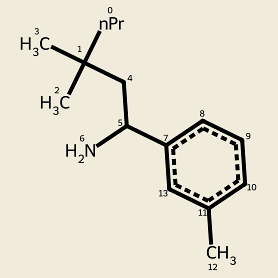 CCCC(C)(C)CC(N)c1cccc(C)c1